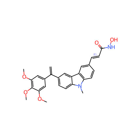 C=C(c1cc(OC)c(OC)c(OC)c1)c1ccc2c(c1)c1cc(/C=C/C(=O)NO)ccc1n2C